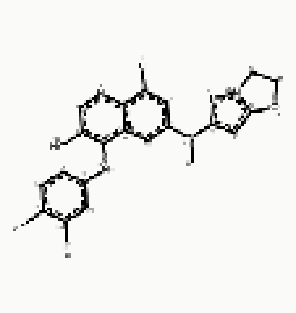 CN(c1cc(Cl)c2ncc(C#N)c(Nc3ccc(F)c(Cl)c3)c2c1)c1cc2n(n1)CCO2